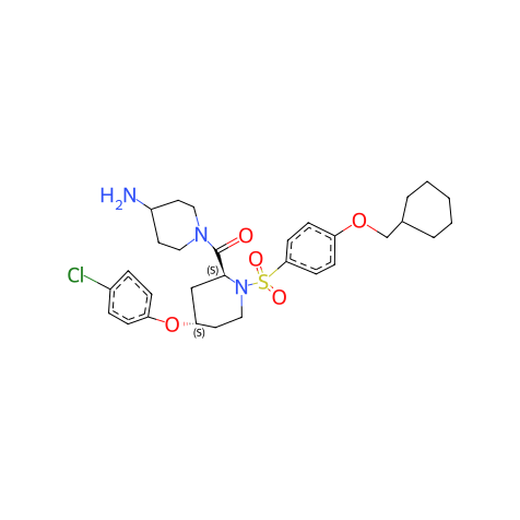 NC1CCN(C(=O)[C@@H]2C[C@@H](Oc3ccc(Cl)cc3)CCN2S(=O)(=O)c2ccc(OCC3CCCCC3)cc2)CC1